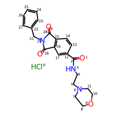 Cl.O=C(NCCN1CCOCC1)c1ccc2c(c1)C(=O)N(Cc1ccccc1)C2=O